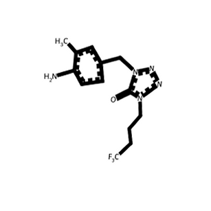 Cc1cc(Cn2nnn(CCCC(F)(F)F)c2=O)ccc1N